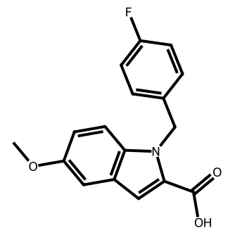 COc1ccc2c(c1)cc(C(=O)O)n2Cc1ccc(F)cc1